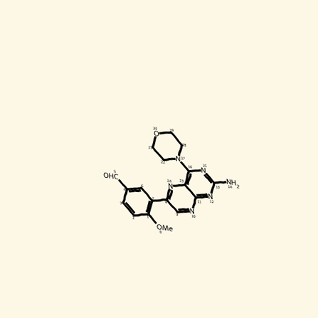 COc1ccc(C=O)cc1-c1cnc2nc(N)nc(N3CCOCC3)c2n1